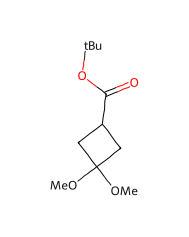 COC1(OC)CC(C(=O)OC(C)(C)C)C1